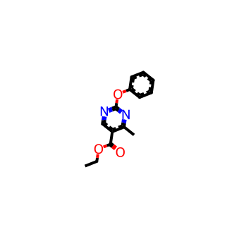 CCOC(=O)c1cnc(Oc2ccccc2)nc1C